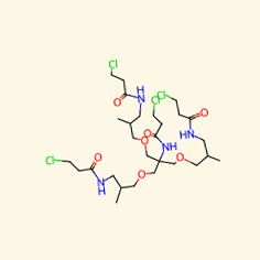 CC(CNC(=O)CCCl)COCC(COCC(C)CNC(=O)CCCl)(COCC(C)CNC(=O)CCCl)NC(=O)CCCl